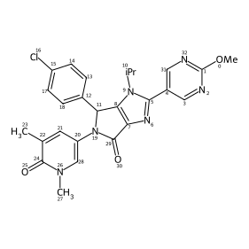 COc1ncc(-c2nc3c(n2C(C)C)C(c2ccc(Cl)cc2)N(c2cc(C)c(=O)n(C)c2)C3=O)cn1